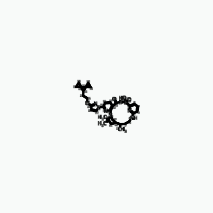 CC1CCNc2cccc(n2)S(=O)(=O)NC(=O)c2ccc(-n3ccc(OCCC4C5(CC5)C45CC5)n3)nc2N2CC1CC2(C)C